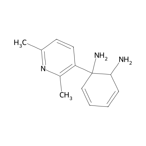 Cc1ccc(C2(N)C=CC=CC2N)c(C)n1